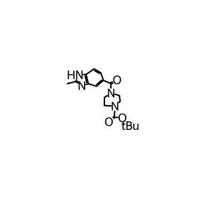 Cc1nc2cc(C(=O)N3CCN(C(=O)OC(C)(C)C)CC3)ccc2[nH]1